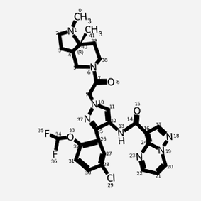 CN1CCC2CN(C(=O)Cn3cc(NC(=O)c4cnn5cccnc45)c(-c4cc(Cl)ccc4OC(F)F)n3)CC[C@]21C